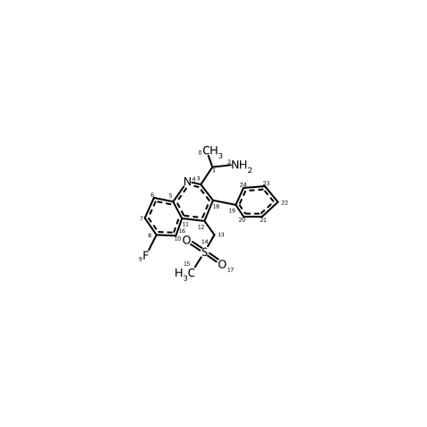 CC(N)c1nc2ccc(F)cc2c(CS(C)(=O)=O)c1-c1ccccc1